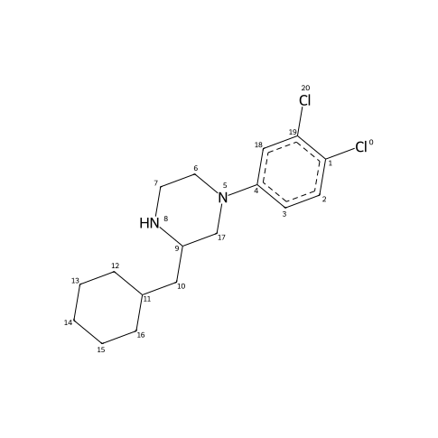 Clc1ccc(N2CCNC(CC3CCCCC3)C2)cc1Cl